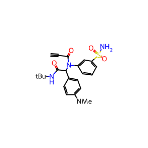 C#CC(=O)N(c1cccc(S(N)(=O)=O)c1)C(C(=O)NC(C)(C)C)c1ccc(NC)cc1